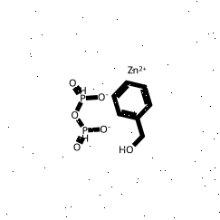 O=[PH]([O-])O[PH](=O)[O-].OCc1ccccc1.[Zn+2]